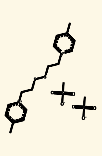 CS(=O)(=O)[O-].CS(=O)(=O)[O-].Cc1cc[n+](CCSSCC[n+]2ccc(C)cc2)cc1